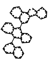 c1ccc2c(-c3c4ccccc4c(-c4cc5c6ccccc6sc5c5ccccc45)c4ccccc34)cccc2c1